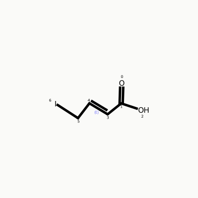 O=C(O)/C=C/CI